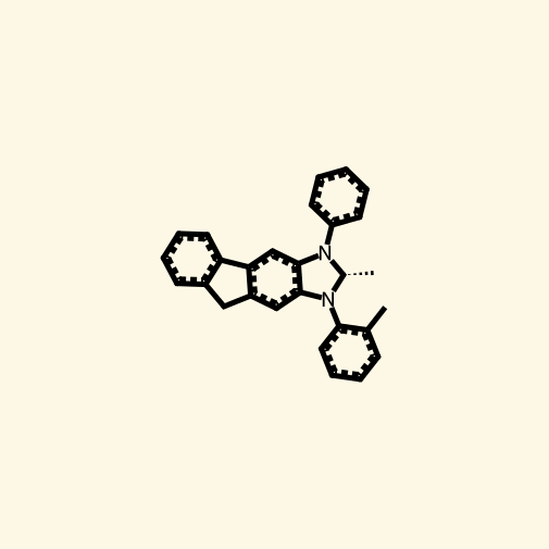 Cc1ccccc1N1c2cc3c(cc2N(c2ccccc2)[C@@H]1C)-c1ccccc1C3